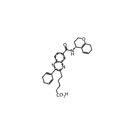 O=C(O)CCCCc1nc2cc(C(=O)N[C@H]3CCOC4=C3C=CCC4)ccc2nc1C1=CCCC=C1